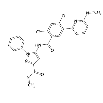 C=NC(=O)c1cc(NC(=O)c2cc(-c3cccc(N=C)n3)c(Cl)cc2Cl)n(-c2ccccc2)n1